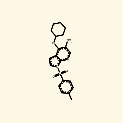 Cc1ccc(S(=O)(=O)n2ccc3c(NC4CCCCC4)c([N+](=O)[O-])cnc32)cc1